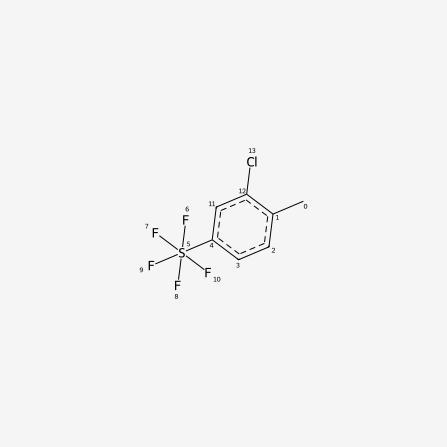 Cc1ccc(S(F)(F)(F)(F)F)cc1Cl